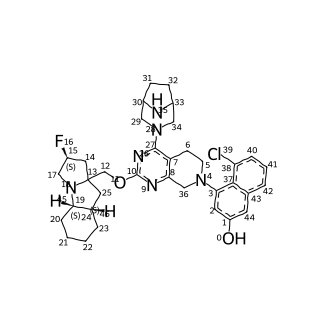 Oc1cc(N2CCc3c(nc(OCC45C[C@H](F)CN4[C@H]4CCCC[C@H]4C5)nc3N3CC4CCC(C3)N4)C2)c2c(Cl)cccc2c1